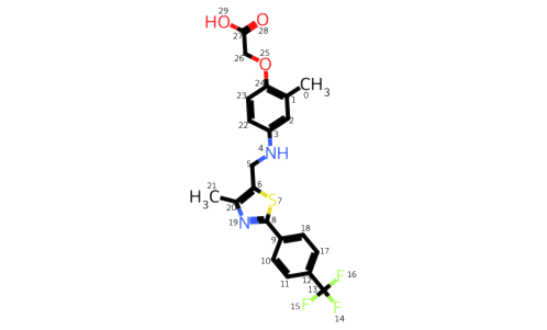 Cc1cc(NCc2sc(-c3ccc(C(F)(F)F)cc3)nc2C)ccc1OCC(=O)O